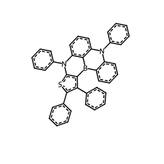 c1ccc(-c2sc3c(c2-c2ccccc2)B2c4ccccc4N(c4ccccc4)c4cccc(c42)N3c2ccccc2)cc1